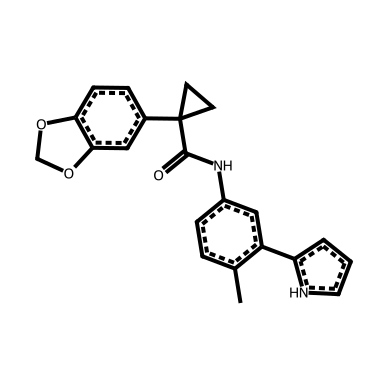 Cc1ccc(NC(=O)C2(c3ccc4c(c3)OCO4)CC2)cc1-c1ccc[nH]1